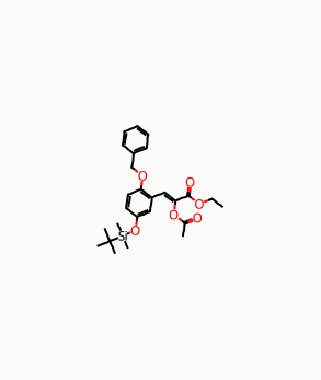 CCOC(=O)C(=Cc1cc(O[Si](C)(C)C(C)(C)C)ccc1OCc1ccccc1)OC(C)=O